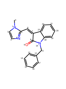 Cn1ccnc1C=C1C(=O)N(Cc2ccccc2)c2ccccc21